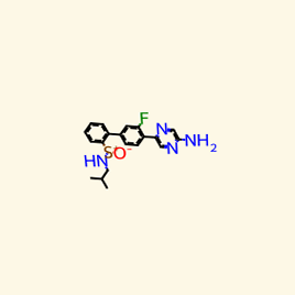 CC(C)CN[S+]([O-])c1ccccc1-c1ccc(-c2cnc(N)cn2)c(F)c1